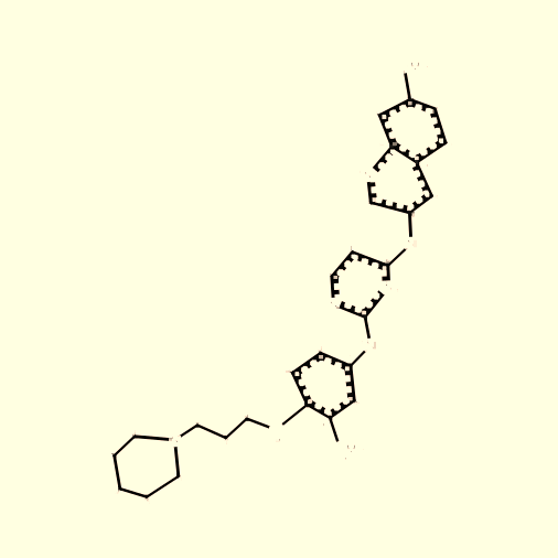 COc1ccc2cc(Nc3ccnc(Nc4ccc(OCCCN5CCCCC5)c(OC)c4)n3)cnc2c1